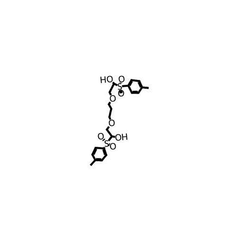 Cc1ccc(S(=O)(=O)C(O)COCCCOCC(O)S(=O)(=O)c2ccc(C)cc2)cc1